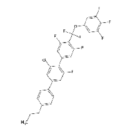 CCCc1ccc(-c2cc(F)c(-c3cc(F)c(C(F)(F)Oc4cc(F)c(F)c(F)c4)c(F)c3)c(Cl)c2)cc1